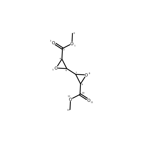 COC(=O)C1OC1C1OC1C(=O)OC